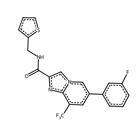 O=C(NCc1cccs1)c1cn2cc(-c3cccc(F)c3)cc(C(F)(F)F)c2n1